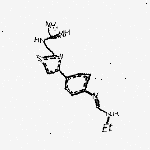 CCN/C=N/c1ccc(-c2csc(NC(=N)N)n2)cc1